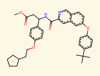 COC(=O)CC(NC(=O)c1cc2cc(Oc3ccc(C(C)(C)C)cc3)ccc2cn1)c1ccc(OCCC2CCCC2)cc1